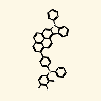 Fc1ccc(N(c2ccccc2)c2ccc(-c3ccc4ccc5cc6c(c7ccc3c4c57)c3ccccc3n6-c3ccccc3)cc2)c(F)c1F